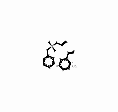 C=CC[N+](C)(C)Cc1ccccc1.C=Cc1ccccc1.[Cl-]